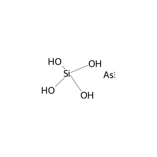 O[Si](O)(O)O.[As]